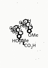 COc1ccc2c(c1)CCN1C[C@H]3CCCN(S(C)(=O)=O)[C@H]3C[C@@H]21.COc1ccc2c(c1)CCN1C[C@H]3CCCN(S(C)(=O)=O)[C@H]3C[C@@H]21.O=C(O)/C=C/C(=O)O